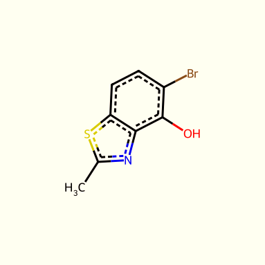 Cc1nc2c(O)c(Br)ccc2s1